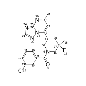 Cc1cc(C2CN(C(=O)c3cccc(Cl)c3)CC(C)(F)C2)n2ncnc2n1